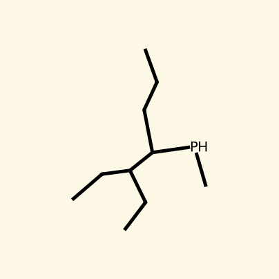 CCCC(PC)C(CC)CC